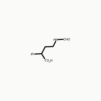 CC(C)C(CCNC=O)C(=O)O